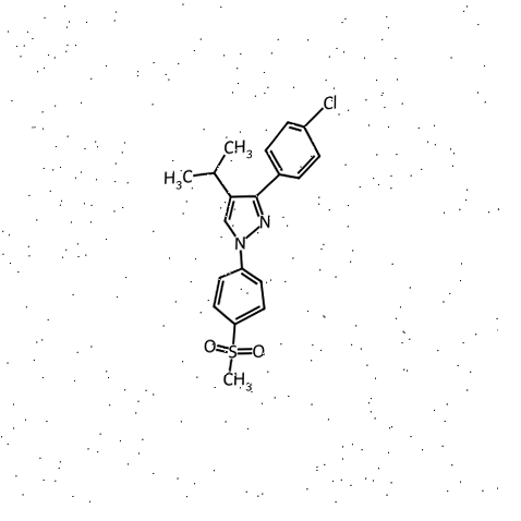 CC(C)c1cn(-c2ccc(S(C)(=O)=O)cc2)nc1-c1ccc(Cl)cc1